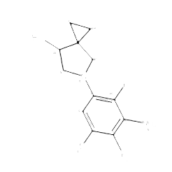 Nc1c(F)c(F)cc(N2CC(O)C3(CC3)C2)c1F